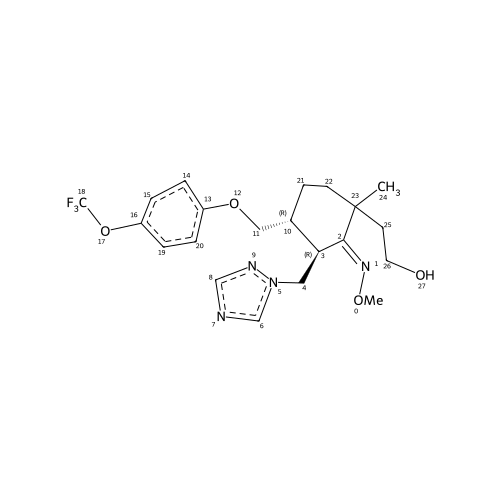 CON=C1[C@@H](Cn2cncn2)[C@H](COc2ccc(OC(F)(F)F)cc2)CCC1(C)CCO